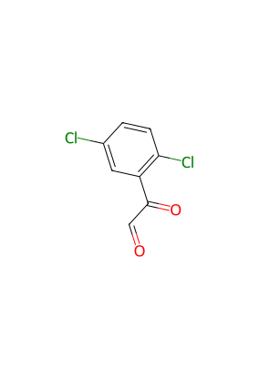 O=CC(=O)c1cc(Cl)ccc1Cl